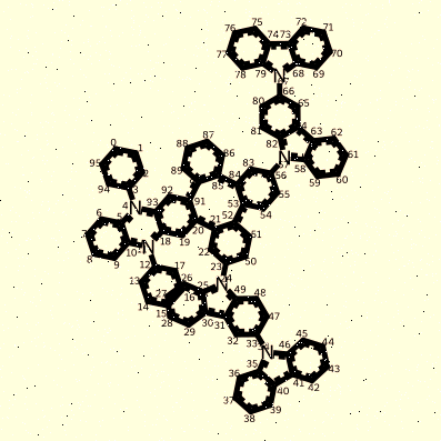 c1ccc(-n2c3ccccc3n(-c3ccccc3)c3cc4c5cc(-n6c7ccccc7c7cc(-n8c9ccccc9c9ccccc98)ccc76)ccc5c5ccc(-n6c7ccccc7c7cc(-n8c9ccccc9c9ccccc98)ccc76)cc5c5ccccc5c4cc32)cc1